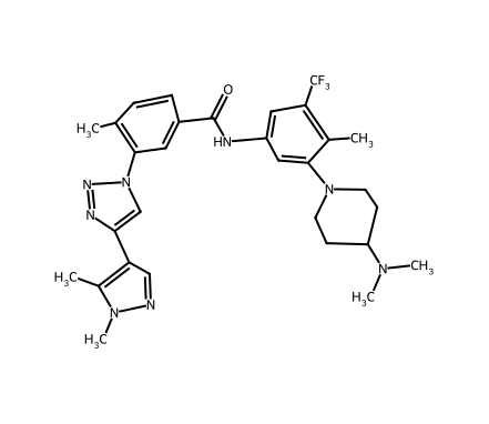 Cc1ccc(C(=O)Nc2cc(N3CCC(N(C)C)CC3)c(C)c(C(F)(F)F)c2)cc1-n1cc(-c2cnn(C)c2C)nn1